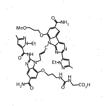 CCn1nc(C)cc1C(=O)Nc1nc2cc(C(N)=O)cc(OCCCNC(=O)NCC(=O)O)c2n1CC=CCn1c2nc(-c3cc(C)nn3CC)ncc2c2cc(C(N)=O)cc(OCCCOC)c21